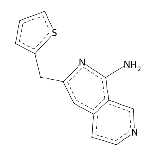 Nc1nc(Cc2cccs2)cc2ccncc12